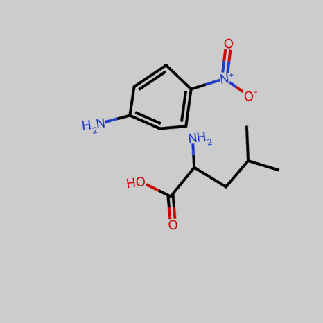 CC(C)CC(N)C(=O)O.Nc1ccc([N+](=O)[O-])cc1